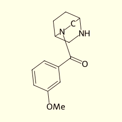 COc1cccc(C(=O)N2CC3CCC2CN3)c1